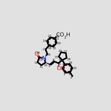 Cc1ccc(C2([C@@H](O)C=C[C@H]3CCC(=O)N3CCc3ccc(C(=O)O)cc3)CCCC2)cc1